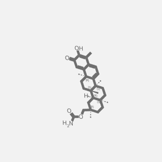 CC1=C(O)C(=O)C=C2C1=CC=C1[C@@]2(C)CC[C@@]2(C)[C@@H]3C[C@](C)(COC(N)=O)CC[C@]3(C)CC[C@]12C